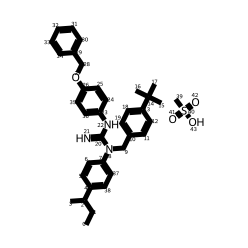 CCC(C)c1ccc(N(Cc2ccc(C(C)(C)C)cc2)C(=N)Nc2ccc(OCc3ccccc3)cc2)cc1.CS(=O)(=O)O